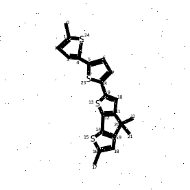 Cc1ccc(-c2ccc(-c3cc4c(s3)-c3sc(C)cc3C4(C)C)s2)s1